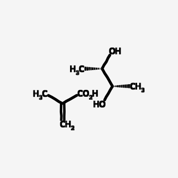 C=C(C)C(=O)O.C[C@H](O)[C@H](C)O